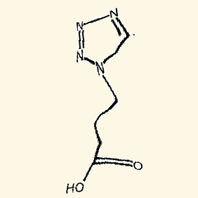 O=C(O)CCn1[c]nnn1